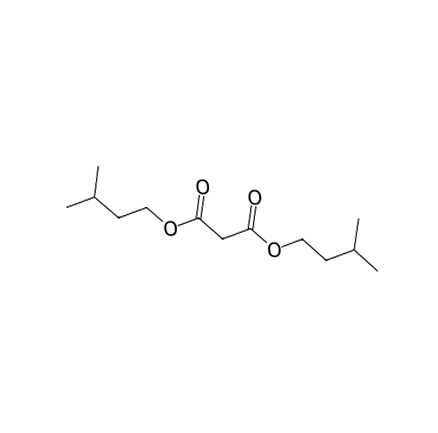 CC(C)CCOC(=O)CC(=O)OCCC(C)C